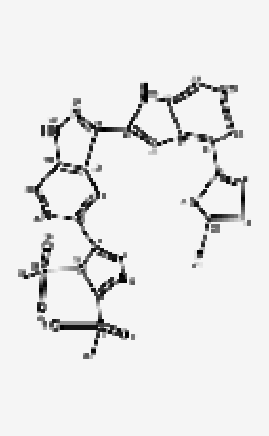 CS(=O)(=O)c1ncc(-c2cc3c(-c4cc5c(-c6ccc(F)s6)cncc5[nH]4)n[nH]c3cn2)n1S(C)(=O)=O